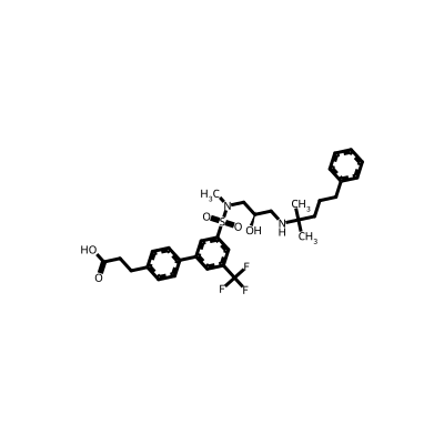 CN(C[C@H](O)CNC(C)(C)CCCc1ccccc1)S(=O)(=O)c1cc(-c2ccc(CCC(=O)O)cc2)cc(C(F)(F)F)c1